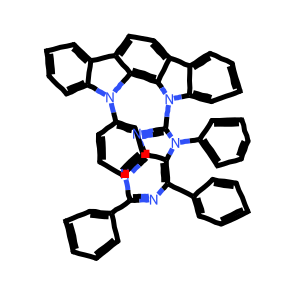 c1ccc(-c2nc(-c3ccccc3)c3c(n2)nc(-n2c4ccccc4c4ccc5c6ccccc6n(-c6ccccc6)c5c42)n3-c2ccccc2)cc1